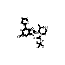 CC1NCCN(C(=O)OC(C)(C)C)[C@@H]1c1nc2cc(Cl)cc(-c3ccco3)c2o1